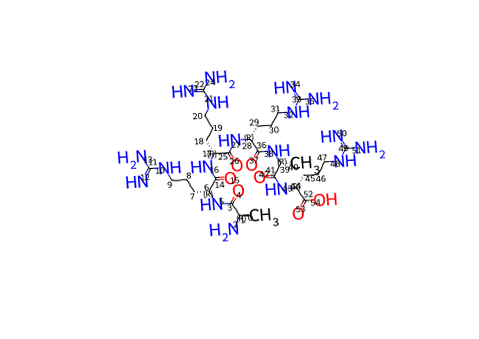 C[C@@H](N)C(=O)N[C@H](CCCNC(=N)N)C(=O)N[C@H](CCCNC(=N)N)C(=O)N[C@H](CCCNC(=N)N)C(=O)N[C@H](C)C(=O)N[C@H](CCCNC(=N)N)C(=O)O